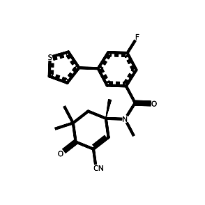 CN(C(=O)c1cc(F)cc(-c2ccsc2)c1)[C@]1(C)C=C(C#N)C(=O)C(C)(C)C1